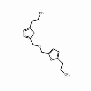 CCCc1ccc(COCc2ccc(CCO)o2)o1